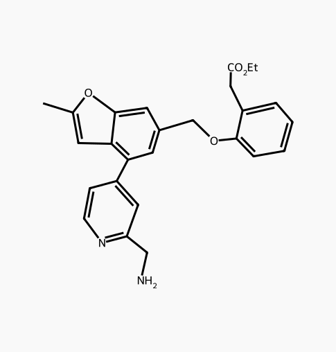 CCOC(=O)Cc1ccccc1OCc1cc(-c2ccnc(CN)c2)c2cc(C)oc2c1